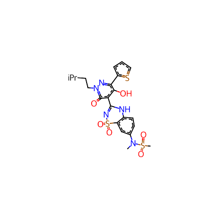 CC(C)CCn1nc(-c2cccs2)c(O)c(C2=NS(=O)(=O)c3cc(N(C)S(C)(=O)=O)ccc3N2)c1=O